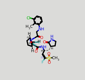 Cc1c(Cl)cccc1NCC(=O)N1[C@H]2CC[C@@H]([C@@H]1C(=O)N[C@@H](/C=C(/F)S(C)(=O)=O)C[C@H]1CCNC1=O)C(F)(F)C2